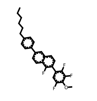 CCCCCCc1ccc(-c2ccc3c(F)c(-c4cc(F)c(OC)c(F)c4F)ccc3c2)cc1